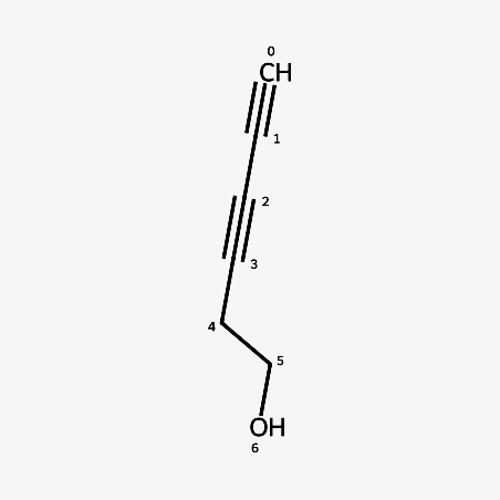 C#CC#CCCO